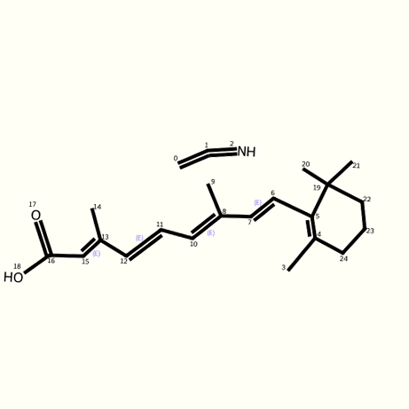 C=C=N.CC1=C(/C=C/C(C)=C/C=C/C(C)=C/C(=O)O)C(C)(C)CCC1